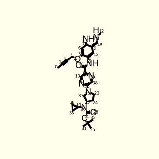 CC#CCOC1=CC(=N)/C(=C\NC)C=C1NC(=O)c1cnc(N2CC[C@@H](N(C(=O)OC(C)(C)C)C3CC3)C2)cn1